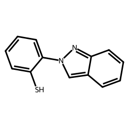 Sc1ccccc1-n1cc2ccccc2n1